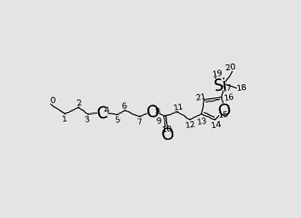 CCCCCCCCOC(=O)CCc1coc([Si](C)(C)C)c1